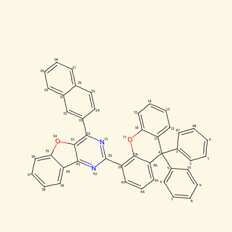 c1ccc(C2(c3ccccc3)c3ccccc3Oc3c(-c4nc(-c5ccc6ccccc6c5)c5oc6ccccc6c5n4)cccc32)cc1